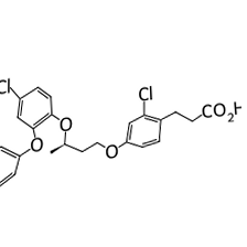 C[C@H](CCOc1ccc(CCC(=O)O)c(Cl)c1)Oc1ccc(Cl)cc1Oc1ccccc1